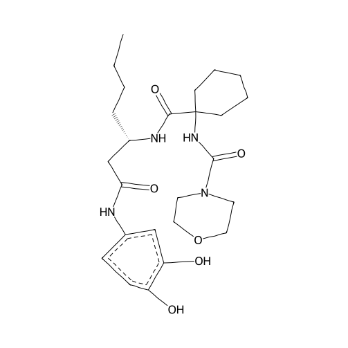 CCCC[C@@H](CC(=O)Nc1ccc(O)c(O)c1)NC(=O)C1(NC(=O)N2CCOCC2)CCCCC1